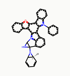 C1=CC2[C@H](C=C1)N2C12NC1n1c3c2cccc3c2c3c(c4ccccc4n3-c3ccccc3)c3oc4ccccc4c3c21